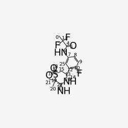 CC(F)(F)C(=O)Nc1ccc(F)c([C@]2(C)CS(=O)(=O)C(C)(C)C(=N)N2)c1